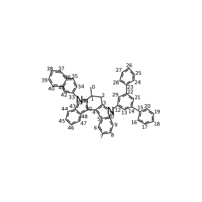 CC1Cc2c(c3ccccc3n2-c2cc(-c3ccccc3)cc(-c3ccccc3)c2)-c2c1n(-c1ccc3ccccc3c1)c1ccccc21